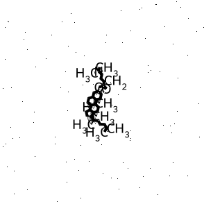 C=C(CCN(C)C)C(=O)O[C@H]1CC[C@@]2(C)C(CC[C@@H]3C2CC[C@@]2(C)C3CC[C@@H]2[C@H](C)CCCC(C)C)C1